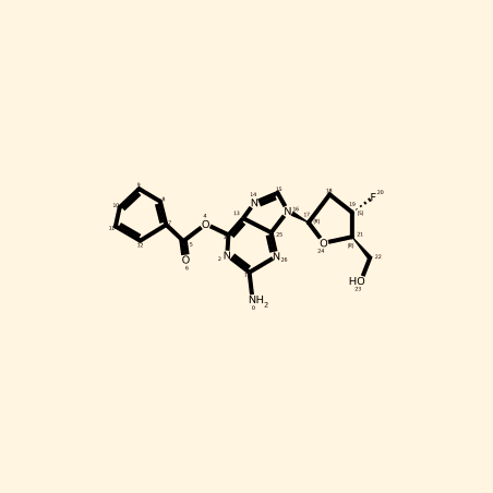 Nc1nc(OC(=O)c2ccccc2)c2ncn([C@H]3C[C@H](F)[C@@H](CO)O3)c2n1